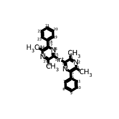 Cc1nc(C)c(-c2ccccc2)n[c]1[Ir+][c]1nc(-c2ccccc2)c(C)nc1C